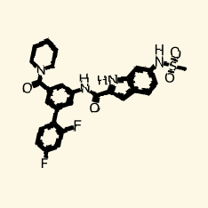 CS(=O)(=O)Nc1ccc2cc(C(=O)Nc3cc(C(=O)N4CCCCC4)cc(-c4ccc(F)cc4F)c3)[nH]c2c1